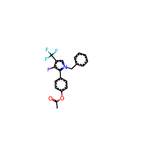 CC(=O)Oc1ccc(-c2c(I)c(C(F)(F)F)cn2Cc2ccccc2)cc1